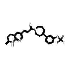 C=C1CCc2cc(/C=C/C(=O)N3CCC=C(c4cccc(OC(F)(F)F)c4)CC3)cnc2N1